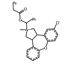 CC(C)CC(=O)OC(C(C)C)[N+]1(C)CC2c3ccccc3Oc3ccc(Cl)cc3C2C1